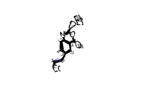 CC/C=C/c1ccc2nc(OCC)oc(=O)c2c1